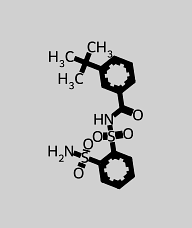 CC(C)(C)c1cccc(C(=O)NS(=O)(=O)c2ccccc2S(N)(=O)=O)c1